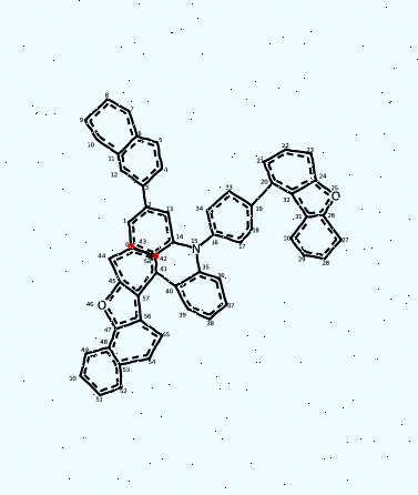 c1cc(-c2ccc3ccccc3c2)cc(N(c2ccc(-c3cccc4oc5ccccc5c34)cc2)c2ccccc2-c2cccc3oc4c5ccccc5ccc4c23)c1